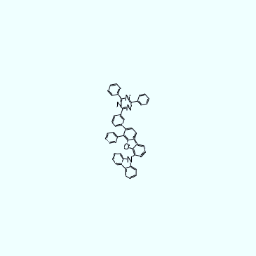 c1ccc(-c2nc(-c3ccccc3)nc(-c3cccc(-c4ccc5c(oc6c(-n7c8ccccc8c8ccccc87)cccc65)c4-c4ccccc4)c3)n2)cc1